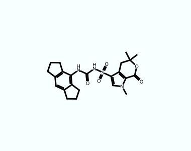 Cn1cc(S(=O)(=O)NC(=O)Nc2c3c(cc4c2CCC4)CCC3)c2c1C(=O)OC(C)(C)C2